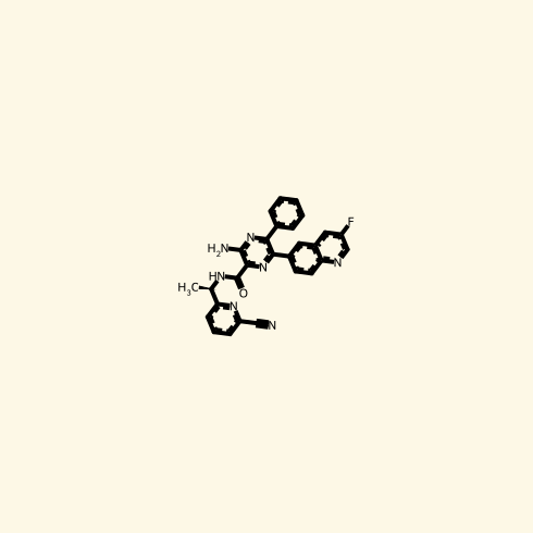 C[C@@H](NC(=O)c1nc(-c2ccc3ncc(F)cc3c2)c(-c2ccccc2)nc1N)c1cccc(C#N)n1